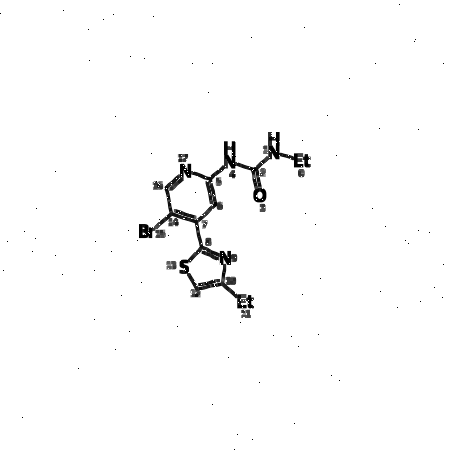 CCNC(=O)Nc1cc(-c2nc(CC)cs2)c(Br)cn1